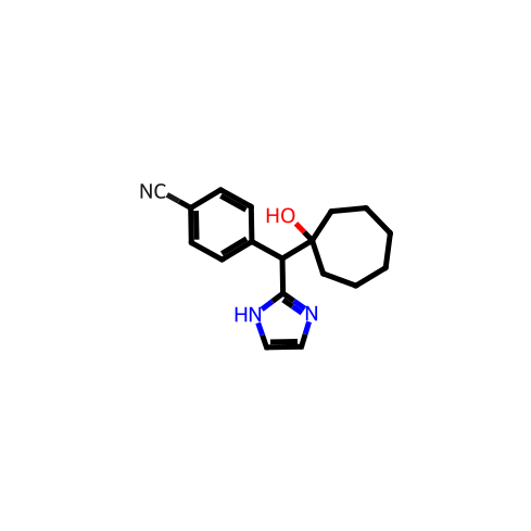 N#Cc1ccc(C(c2ncc[nH]2)C2(O)CCCCCC2)cc1